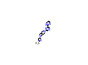 FC(F)(F)c1ccc(N2CCC3(CCN(c4cncc(-c5ncccn5)n4)CC3)C2)cn1